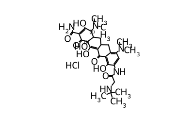 CN(C)c1cc(NC(=O)CNC(C)(C)C)c(O)c2c1CC1CC3[C@H](N(C)C)C(O)=C(C(N)=O)C(=O)[C@@]3(O)C(O)=C1C2=O.Cl